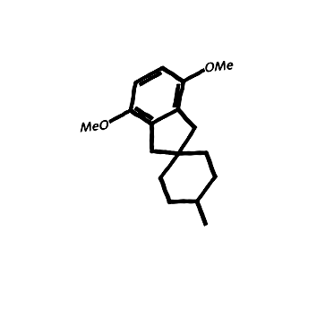 COc1ccc(OC)c2c1CC1(CCC(C)CC1)C2